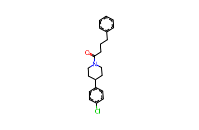 O=C(CCCc1ccccc1)N1CCC(c2ccc(Cl)cc2)CC1